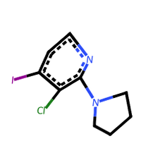 Clc1c(I)ccnc1N1CCCC1